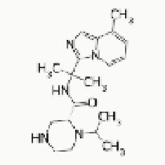 Cc1cccn2c(C(C)(C)NC(=O)[C@H]3CNCCN3C(C)C)ncc12